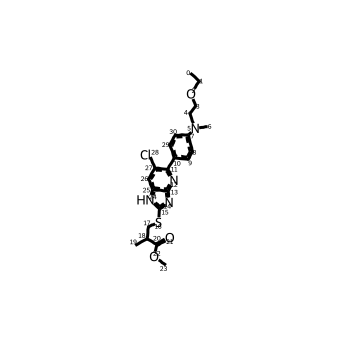 CCOCCN(C)c1ccc(-c2nc3nc(SCC(C)C(=O)OC)[nH]c3cc2Cl)cc1